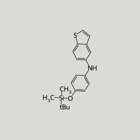 CC(C)(C)[Si](C)(C)Oc1ccc(Nc2ccc3sccc3c2)cc1